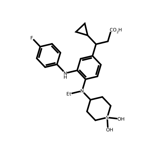 CCN(c1ccc(C(CC(=O)O)C2CC2)cc1Nc1ccc(F)cc1)C1CCS(O)(O)CC1